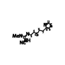 CN/C(=N/CCSCCc1cscn1)NC#N